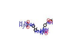 Cc1c(CNc2ncc([N+](=O)[O-])c(NCC3CCC(CNC(=O)OC(C)(C)C)CC3)n2)cccc1-c1cccc(CNC(C(N)=O)C(N)=O)c1